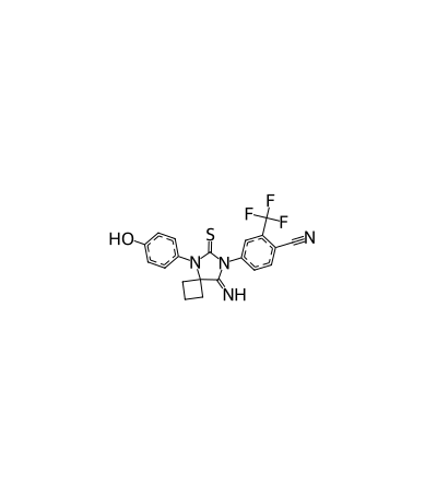 N#Cc1ccc(N2C(=N)C3(CCC3)N(c3ccc(O)cc3)C2=S)cc1C(F)(F)F